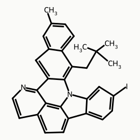 Cc1ccc2c(CC(C)(C)C)c3c(cc2c1)c1nccc2ccc4c5ccc(I)cc5n3c4c21